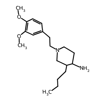 CCCCC1CN(CCc2ccc(OC)c(OC)c2)CCC1N